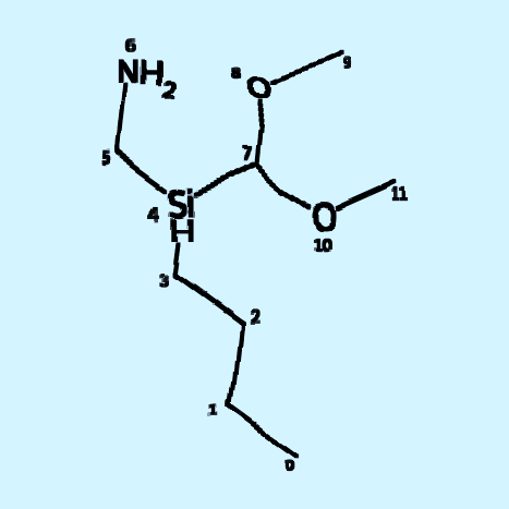 CCCC[SiH](CN)C(OC)OC